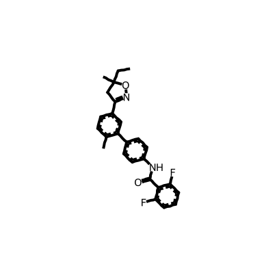 CCC1(C)CC(c2ccc(C)c(-c3ccc(NC(=O)c4c(F)cccc4F)cc3)c2)=NO1